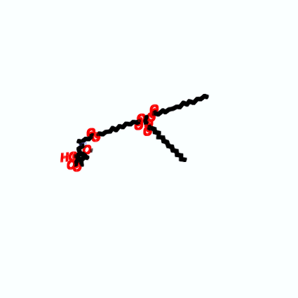 CCCCCCCCCCCCCCCC(=O)OCC(COC(=O)CCCCCCCCCCCCCCC)OC(=O)CCCCCCCCCCCOC(=O)CC/C(C)=C/Cc1c(O)c2c(c(C)c1OC)COC2=O